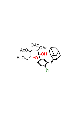 CC(=O)OC[C@H]1O[C@@](O)(c2ccc(Cl)c(C=C3C4CC5CC(C4)CC3C5)c2)[C@H](OC(C)=O)[C@@H](OC(C)=O)[C@@H]1OC(C)=O